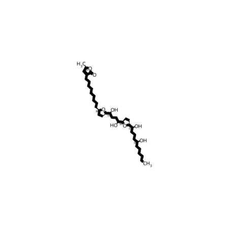 CCCCCC[C@H](O)CCC[C@H](O)[C@H]1CC[C@H]([C@H](O)CC[C@H](O)[C@@H]2CC[C@@H](CCCCCCCCCC3=C[C@H](C)OC3=O)O2)O1